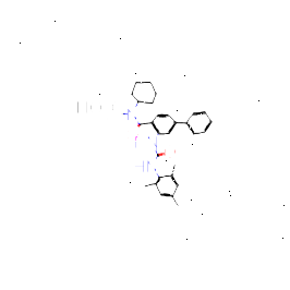 Cc1cc(C)c(NC(=O)Nc2cc(-c3ccccc3)ccc2C(=O)N(CC(=O)O)C2CCCCC2)c(C)c1